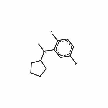 CN(c1cc(F)ccc1F)C1CCCC1